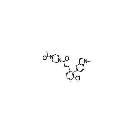 CC(=O)N1CCN(C(=O)/C=C/c2cc[c]c(Cl)c2-c2ccc3c(ccn3C)c2)CC1